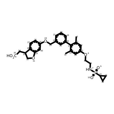 Cc1cc(OCCNS(=O)(=O)C2CC2)cc(C)c1-c1cccc(COc2ccc3c(c2)OCC3CC(=O)O)c1